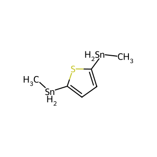 [CH3][SnH2][c]1cc[c]([SnH2][CH3])s1